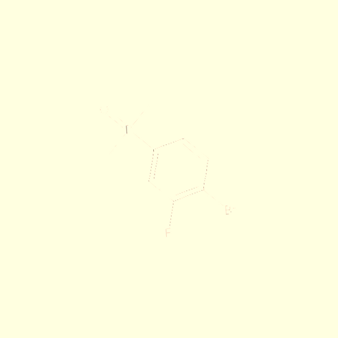 CP(C)(=O)c1ccc(Br)c(F)c1